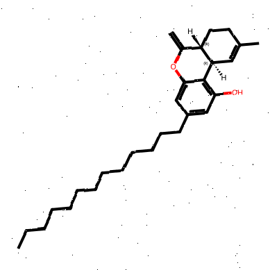 C=C1Oc2cc(CCCCCCCCCCCCC)cc(O)c2[C@@H]2C=C(C)CC[C@@H]12